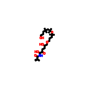 C=C(C)C(=O)NC(O)C(=O)CCC(O)COCCC[Si](C)(C)O[Si](C)(C)C[Si](C)(C)CCCO